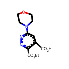 CCOC(=O)c1nnc(N2CCOCC2)cc1C(=O)O